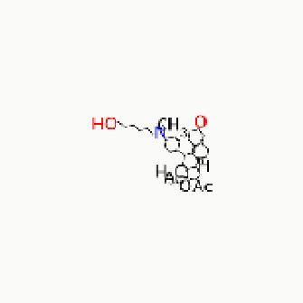 CC(=O)OC1(C(C)=O)CCC2[C@H]3CCC4=CC(=O)CCC4=C3C(c3ccc(N(C)CCCCCCO)cc3)CC21C